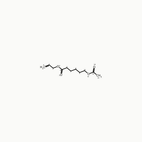 C=CCOC(=O)CCCCCOC(C)=O